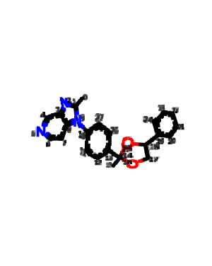 Cc1nc2cnccc2n1-c1ccc(C2(C)OCC(c3ccccc3)O2)cc1